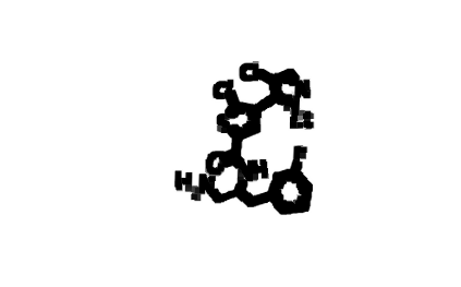 CCn1ncc(Cl)c1-c1cc(C(=O)N[C@H](CN)Cc2cccc(F)c2)sc1Cl